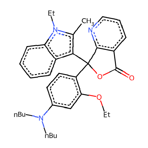 CCCCN(CCCC)c1ccc(C2(c3c(C)n(CC)c4ccccc34)OC(=O)c3cccnc32)c(OCC)c1